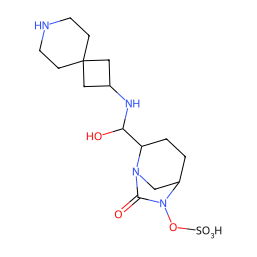 O=C1N2CC(CCC2C(O)NC2CC3(CCNCC3)C2)N1OS(=O)(=O)O